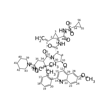 C=CC1C[C@]1(NC(=O)[C@@H]1C[C@@H](Oc2cc(-c3ccccc3)nc3ccc(OC)cc23)CN1C(=O)C(CC(=O)N1CCCCC1)C(C)(C)C)C(=O)NS(=O)(=O)C1CC1